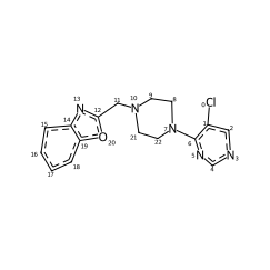 Clc1cncnc1N1CCN(Cc2nc3ccccc3o2)CC1